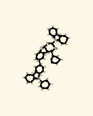 c1ccc(-c2nc(-n3c4ccccc4c4ccccc43)nc3oc4ccc(-c5ccc6c(c5)c5ccccc5n6-c5ccccc5)cc4c23)cc1